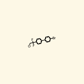 [O]CC(F)(F)c1ccc(-c2ccc(Br)cc2)cc1